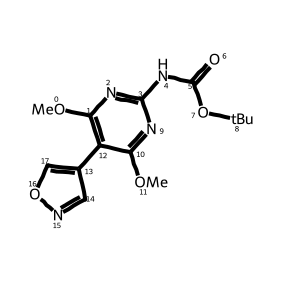 COc1nc(NC(=O)OC(C)(C)C)nc(OC)c1-c1cnoc1